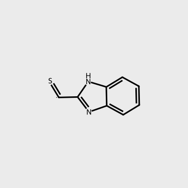 S=[C]c1nc2ccccc2[nH]1